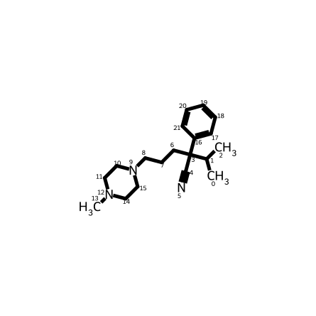 CC(C)C(C#N)(CCCN1CCN(C)CC1)c1ccccc1